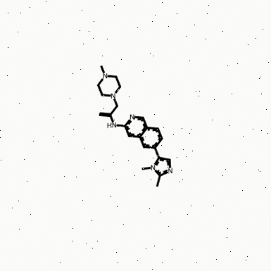 C=C(CN1CCN(C)CC1)Nc1cc2cc(-c3cnc(C)n3C)ccc2cn1